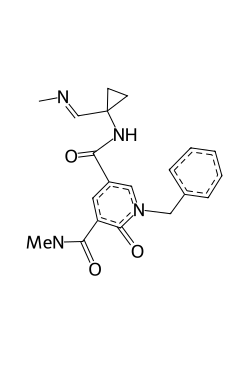 C/N=C/C1(NC(=O)c2cc(C(=O)NC)c(=O)n(Cc3ccccc3)c2)CC1